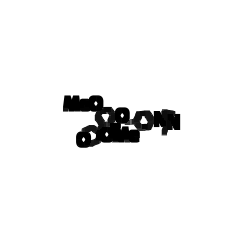 COc1cc(OCc2ccc(-n3ccnc3C)cc2)c(F)c(C2(OC)CCOCC2)c1